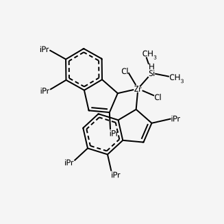 CC(C)C1=Cc2c(ccc(C(C)C)c2C(C)C)[CH]1[Zr]([Cl])([Cl])([CH]1C(C(C)C)=Cc2c1ccc(C(C)C)c2C(C)C)[SiH](C)C